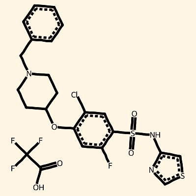 O=C(O)C(F)(F)F.O=S(=O)(Nc1cscn1)c1cc(Cl)c(OC2CCN(Cc3ccccc3)CC2)cc1F